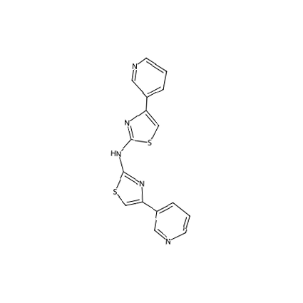 c1cncc(-c2csc(Nc3nc(-c4cccnc4)cs3)n2)c1